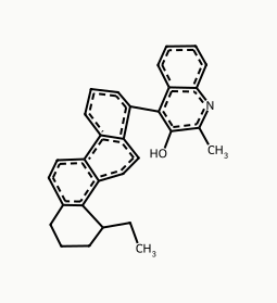 CCC1CCCc2ccc3c(ccc4c(-c5c(O)c(C)nc6ccccc56)cccc43)c21